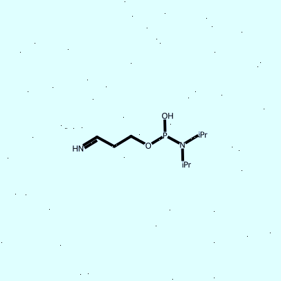 CC(C)N(C(C)C)P(O)OCCC=N